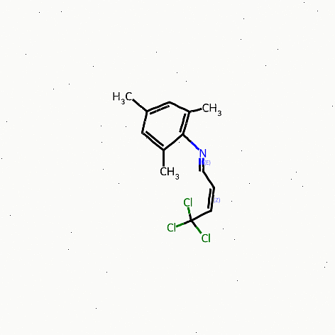 Cc1cc(C)c(/N=C/C=C\C(Cl)(Cl)Cl)c(C)c1